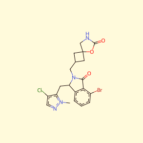 Cn1ncc(Cl)c1CC1c2cccc(Br)c2C(=O)N1CC1CC2(CNC(=O)O2)C1